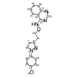 Clc1ccc(-n2ccc(CCONc3ncnc4ccccc34)n2)cc1